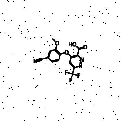 COc1cc(C#N)ccc1Oc1cc(C(F)(F)F)nnc1C(=O)O